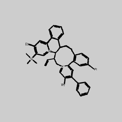 C=CC1C[n+]2cc(C(C)C)c(-c3ccccc3)cc2-c2cc(C(C)C)ccc2CCC2c3ccccc3-c3cc(CC)c([Si](C)(C)C)c[n+]3C12